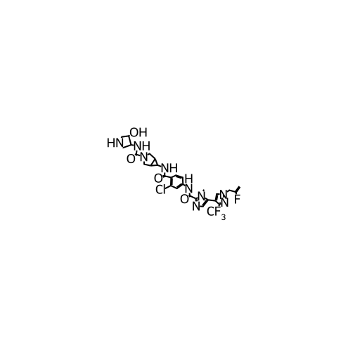 C=C(F)Cn1cc(-c2cnc(C(=O)Nc3ccc(C(=O)NC4C5CN(C(=O)NC6CNCC6O)CC54)c(Cl)c3)n2C)c(C(F)(F)F)n1